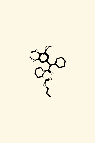 CCCOC(=O)[C@@H]1CCCCN1C(=O)C(c1cc(OC)c(OC)c(OC)c1)C1CCCCC1